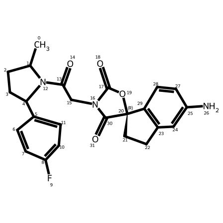 CC1CCC(c2ccc(F)cc2)N1C(=O)CN1C(=O)O[C@@]2(CCc3cc(N)ccc32)C1=O